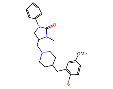 COc1ccc(Br)c(CC2CCN(CC3CN(c4ccccc4)C(=O)N3C)CC2)c1